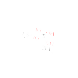 [BiH3].[OH][Ti]([OH])([OH])[OH].[SrH2]